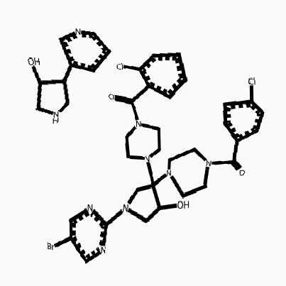 O=C(c1ccc(Cl)cc1)N1CCN(C2(N3CCN(C(=O)c4ccccc4Cl)CC3)CN(c3ncc(Br)cn3)CC2O)CC1.OC1CNCC1c1cccnc1